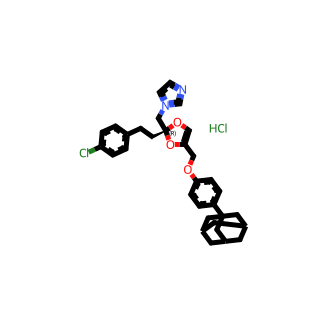 Cl.Clc1ccc(CC[C@@]2(Cn3ccnc3)OC=C(COc3ccc(C45CC6CC(CC(C6)C4)C5)cc3)O2)cc1